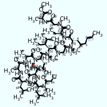 C/C=C/C[C@@H](C)C[C@@H](C(=O)N[C@@H](CC)C(=O)N(C)CC(=O)N[C@@H](C)C(=O)OC)N(C)C(=O)CN(C)C(=O)[C@H](C(CC)C(C)C)N(C)C(=O)[C@H](CC(C)C)N(C)C(=O)[C@@H](C)NC(=O)[C@H](C)NC(=O)[C@H](CC(C)C)N(C)C(=O)C(NC(=O)[C@H](CC(C)C)N(C)C(=O)CCl)C(C)C